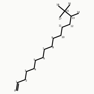 C=CCCCCCCCCCCCC(C)C(C)(C)C